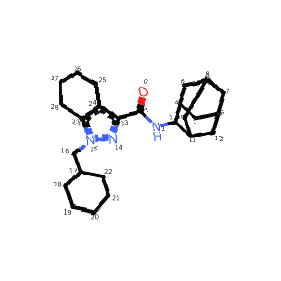 O=C(NC1C2CC3CC(C2)CC1C3)c1nn(CC2CCCCC2)c2c1CCCC2